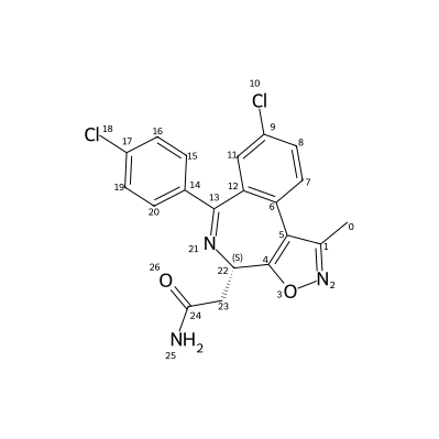 Cc1noc2c1-c1ccc(Cl)cc1C(c1ccc(Cl)cc1)=N[C@H]2CC(N)=O